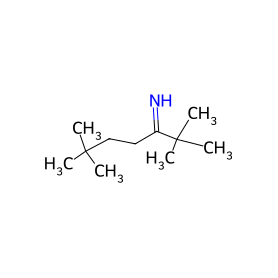 CC(C)(C)CCC(=N)C(C)(C)C